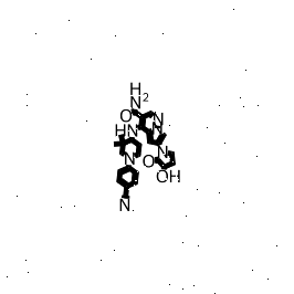 CC1(C)CN(c2ccc(C#N)cc2)CCC1Nc1c(C(N)=O)cnn2cc(N3CCC(O)C3=O)cc12